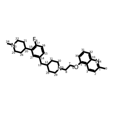 Cc1ccc2c(OCCN3CCC(Cc4ccc(F)c(C5CCN(C)CC5)c4)CC3)cccc2n1